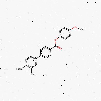 CCCCCCCCCc1ccc(-c2ccc(C(=O)Oc3ccc(OCCCCCCCC)cc3)cc2)cc1C#N